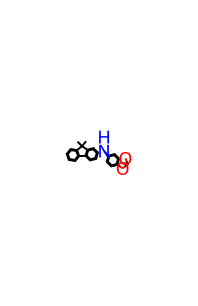 CC1(C)c2ccccc2-c2ccc(Nc3ccc4c(c3)OCO4)cc21